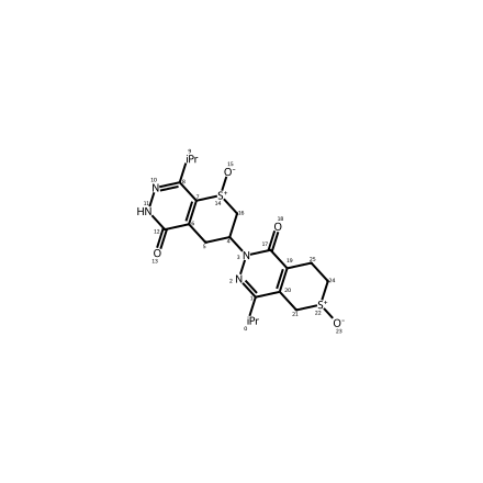 CC(C)c1nn(C2Cc3c(c(C(C)C)n[nH]c3=O)[S+]([O-])C2)c(=O)c2c1C[S+]([O-])CC2